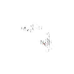 Cc1c(C(=O)N2CCN(C(=O)CCC3CCN(c4ccc5c(c4)C(=O)N(C4CCC(=O)NC4=O)C5=O)CC3)CC2)cccc1N1C2CCC1CN(c1cc(-c3ccccc3O)nnc1N)C2